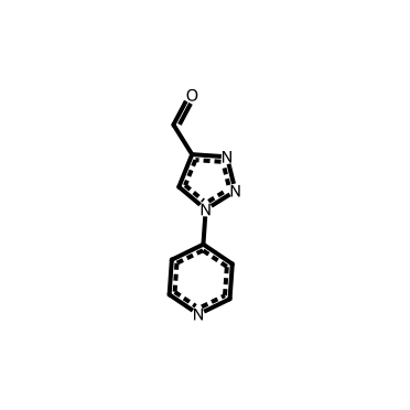 O=Cc1cn(-c2ccncc2)nn1